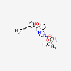 CC#Cc1cccc(C(CN2CCN(C(=O)OC(C)(C)C)CC2)C2(O)CCCCC2)c1